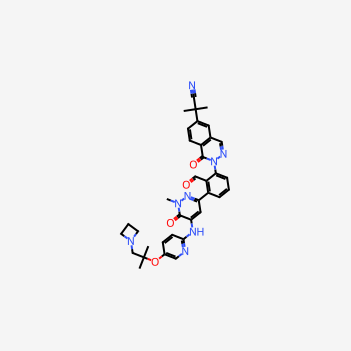 Cn1nc(-c2cccc(-n3ncc4cc(C(C)(C)C#N)ccc4c3=O)c2C=O)cc(Nc2ccc(OC(C)(C)CN3CCC3)cn2)c1=O